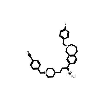 Cl.Cl.N#Cc1ccc(CN2CCC(CCC(=O)c3ccc4c(c3)CN(Cc3ccc(F)cc3)CCC4)CC2)cc1